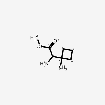 COC(=O)C(N)C1(C)CCC1